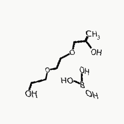 CC(O)COCCOCCO.OB(O)O